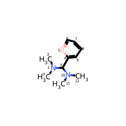 CN(C)C(c1bcccc1)N(C)C